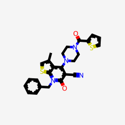 Cc1csc2c1c(N1CCN(C(=O)c3cccs3)CC1)c(C#N)c(=O)n2Cc1ccccc1